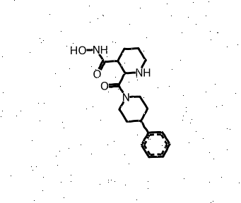 O=C(NO)C1CCCNC1C(=O)N1CCC(c2ccccc2)CC1